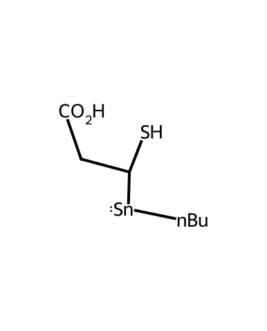 CCC[CH2][Sn][CH](S)CC(=O)O